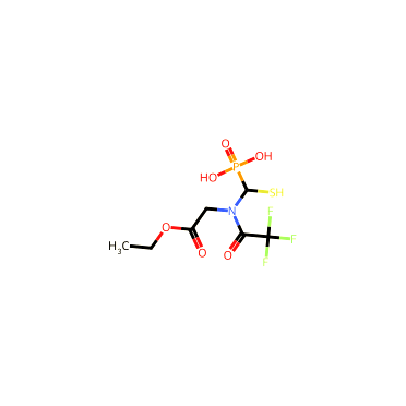 CCOC(=O)CN(C(=O)C(F)(F)F)C(S)P(=O)(O)O